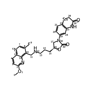 COc1ccc2ncc(F)c(CNCCC[C@H]3CN(c4ccc5c(c4)NC(=O)CS5)C(=O)O3)c2n1